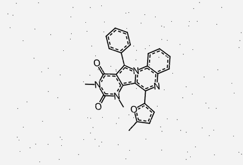 Cc1ccc(-c2nc3ccccc3n3c(-c4ccccc4)c4c(=O)n(C)c(=O)n(C)c4c23)o1